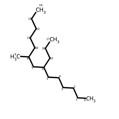 CCCCCCC([CH]C(C)CCCCC)CCC